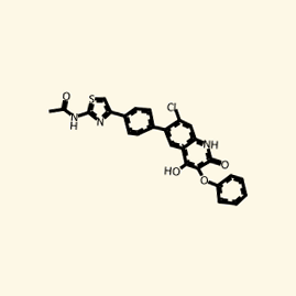 CC(=O)Nc1nc(-c2ccc(-c3cc4c(O)c(Oc5ccccc5)c(=O)[nH]c4cc3Cl)cc2)cs1